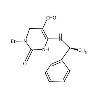 CCN1CC(C=O)=C(N[C@@H](C)c2ccccc2)NC1=O